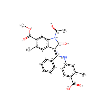 COC(=O)c1cc2c(cc1C)/C(=C(/Nc1ccc(C(=O)O)c(C)c1)c1ccccc1)C(=O)N2C(C)=O